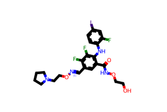 O=C(NOCCO)c1cc(/C=N/OCCN2CCCC2)c(F)c(F)c1Nc1ccc(I)cc1F